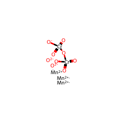 [Mn+2].[Mn+2].[Mn+2].[O-2].[O-2].[O]=[Cr](=[O])([O-])[O][Cr](=[O])(=[O])[O-]